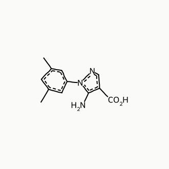 Cc1cc(C)cc(-n2ncc(C(=O)O)c2N)c1